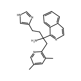 Cc1cnc(CC(N)(CCc2c[nH]cn2)c2nccc3ccccc23)c(C)c1